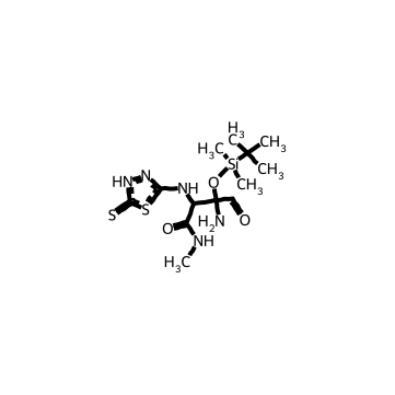 CNC(=O)C(Nc1n[nH]c(=S)s1)C(N)(C=O)O[Si](C)(C)C(C)(C)C